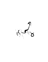 Cc1ccccc1Cn1nc(-c2nc(N)c3c(n2)NC(=O)C3(C)C)cc1-c1ccon1